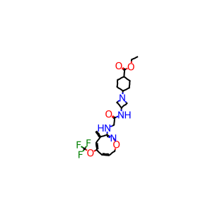 C=C1/C=C(OC(F)(F)F)\C=C/CO/N=C\1NCC(=O)NC1CN(C2CCC(C(=O)OCC)CC2)C1